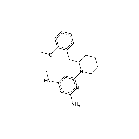 CNc1cc(N2CCCCC2Cc2ccccc2OC)nc(N)n1